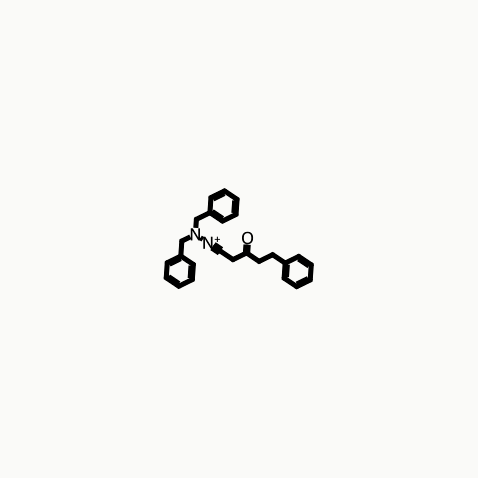 O=C(CC#[N+]N(Cc1ccccc1)Cc1ccccc1)CCc1ccccc1